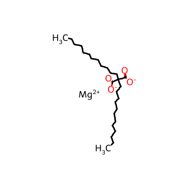 CCCCCCCCCCCCC(CCCCCCCCCCCC)(C(=O)[O-])C(=O)[O-].[Mg+2]